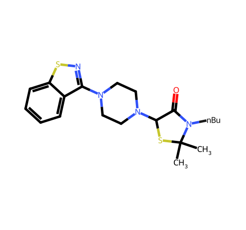 CCCCN1C(=O)C(N2CCN(c3nsc4ccccc34)CC2)SC1(C)C